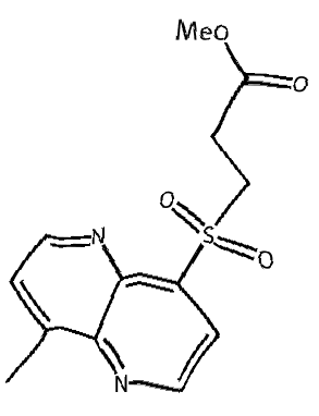 COC(=O)CCS(=O)(=O)c1ccnc2c(C)ccnc12